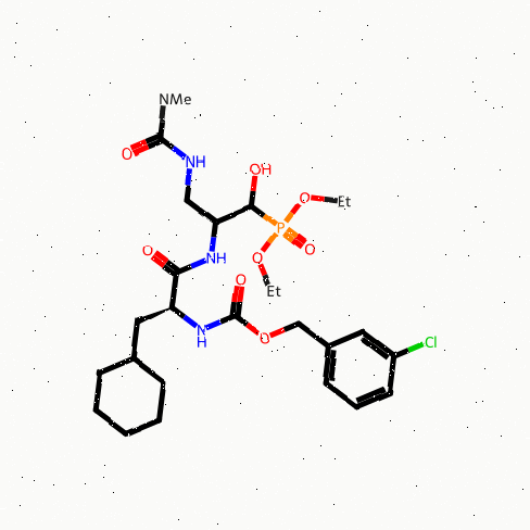 CCOP(=O)(OCC)C(O)C(CNC(=O)NC)NC(=O)[C@H](CC1CCCCC1)NC(=O)OCc1cccc(Cl)c1